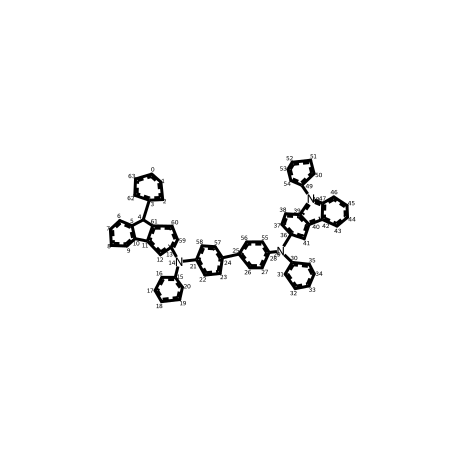 c1ccc(C2c3ccccc3-c3cc(N(c4ccccc4)c4ccc(-c5ccc(N(c6ccccc6)c6ccc7c(c6)c6ccccc6n7-c6ccccc6)cc5)cc4)ccc32)cc1